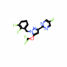 Fc1cnc(-c2cc(OC(F)F)n(Cc3cccc(F)c3F)n2)nc1